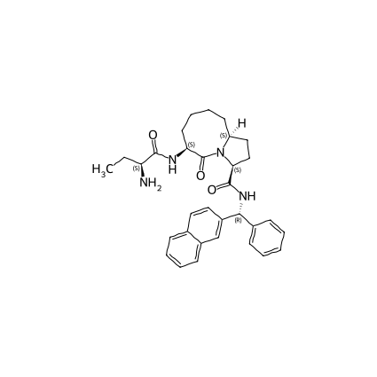 CC[C@H](N)C(=O)N[C@H]1CCCC[C@H]2CC[C@@H](C(=O)N[C@H](c3ccccc3)c3ccc4ccccc4c3)N2C1=O